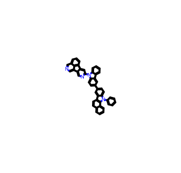 c1ccc(-n2c3ccc(-c4ccc5c(c4)c4ccccc4n5-c4cc5c(cn4)-c4cncc6cccc-5c46)cc3c3ccc4ccccc4c32)cc1